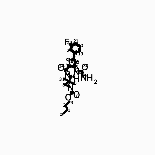 CCCCOC(=O)N1CC2(C1)CN(C(=O)c1sc(-c3cccc(F)c3)cc1NC(N)=O)C2